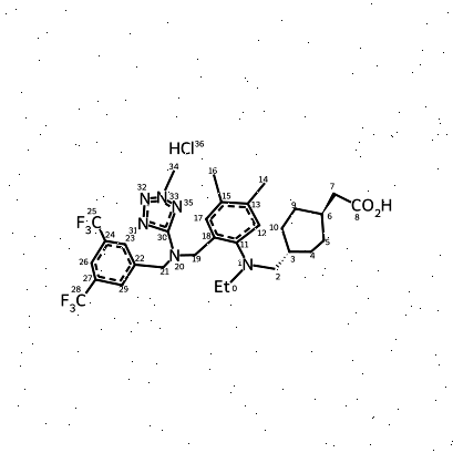 CCN(C[C@H]1CC[C@H](CC(=O)O)CC1)c1cc(C)c(C)cc1CN(Cc1cc(C(F)(F)F)cc(C(F)(F)F)c1)c1nnn(C)n1.Cl